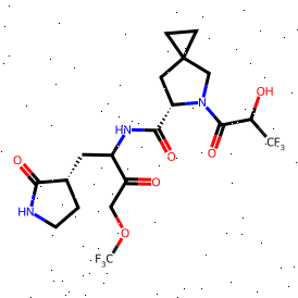 O=C(COC(F)(F)F)C(C[C@@H]1CCNC1=O)NC(=O)[C@@H]1CC2(CC2)CN1C(=O)C(O)C(F)(F)F